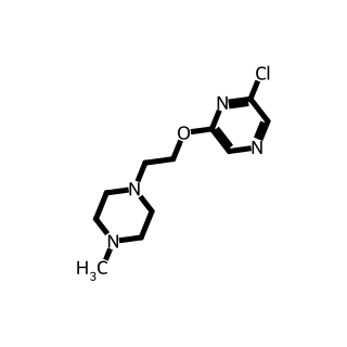 CN1CCN(CCOc2cncc(Cl)n2)CC1